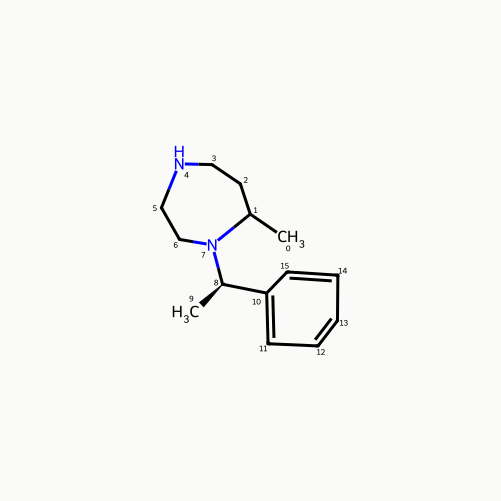 CC1CCNCCN1[C@H](C)c1ccccc1